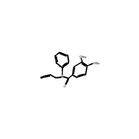 C=CCN(C(=O)c1ccc(OC)c(OC)c1)c1ccccc1